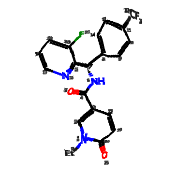 CCn1cc(C(=O)N[C@@H](c2ccc(C(F)(F)F)cc2)c2ncccc2F)ccc1=O